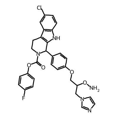 NOC(COc1ccc(C2c3[nH]c4ccc(Cl)cc4c3CCN2C(=O)Oc2ccc(F)cc2)cc1)Cn1ccnc1